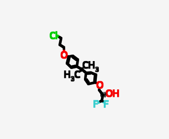 CC(C)(c1ccc(OCCCCl)cc1)c1ccc(OC[C@H](O)C(F)F)cc1